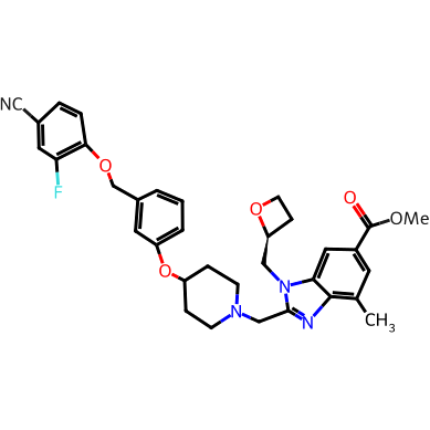 COC(=O)c1cc(C)c2nc(CN3CCC(Oc4cccc(COc5ccc(C#N)cc5F)c4)CC3)n(C[C@@H]3CCO3)c2c1